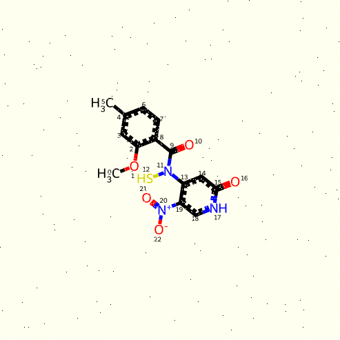 COc1cc(C)ccc1C(=O)N(S)c1cc(=O)[nH]cc1[N+](=O)[O-]